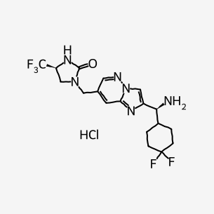 Cl.N[C@H](c1cn2ncc(CN3C[C@@H](C(F)(F)F)NC3=O)cc2n1)C1CCC(F)(F)CC1